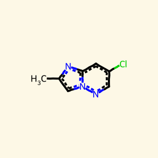 Cc1cn2ncc(Cl)cc2n1